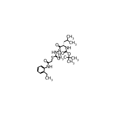 CCc1ccccc1NC(=O)CSC(=O)NNC(=O)[C@H](CC(C)C)NC(=O)OC(C)(C)C